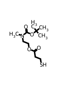 CN(CCOC(=O)CCS)C(=O)OC(C)(C)C